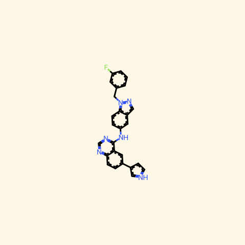 Fc1cccc(Cn2ncc3cc(Nc4ncnc5ccc(-c6cc[nH]c6)cc45)ccc32)c1